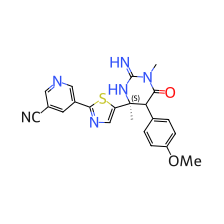 COc1ccc(C2C(=O)N(C)C(=N)N[C@]2(C)c2cnc(-c3cncc(C#N)c3)s2)cc1